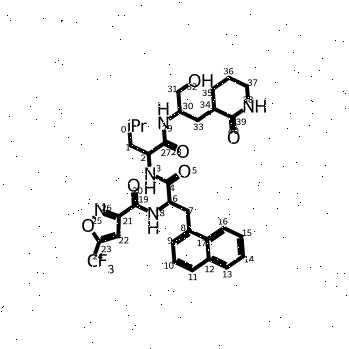 CC(C)CC(NC(=O)C(Cc1cccc2ccccc12)NC(=O)c1cc(C(F)(F)F)on1)C(=O)NC(CO)CC1CCCNC1=O